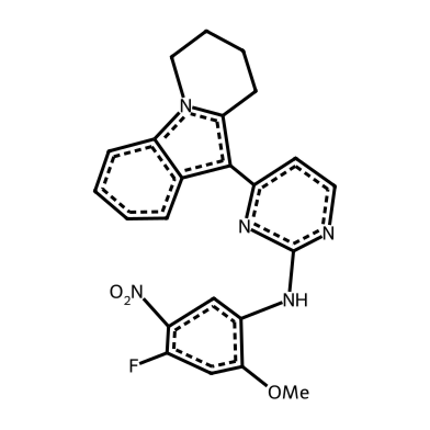 COc1cc(F)c([N+](=O)[O-])cc1Nc1nccc(-c2c3n(c4ccccc24)CCCC3)n1